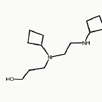 OCCCN(CCNC1CCC1)C1CCC1